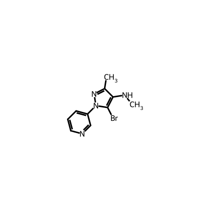 CNc1c(C)nn(-c2cccnc2)c1Br